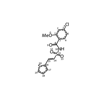 COc1cc(Cl)ccc1C(=O)NS(=O)(=O)C=Cc1cccs1